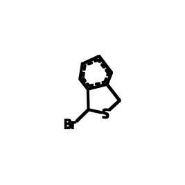 BrC1SCc2ccccc21